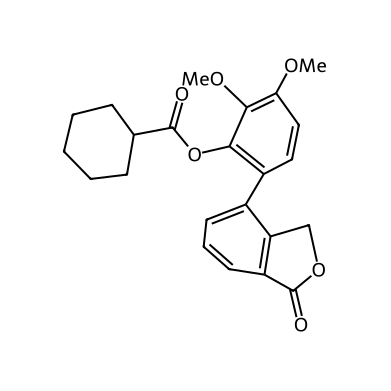 COc1ccc(-c2cccc3c2COC3=O)c(OC(=O)C2CCCCC2)c1OC